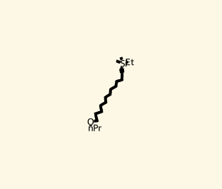 CCCOCCCCCCCCCCCC#C[Si](C)(C)CC